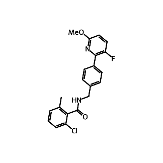 COc1ccc(F)c(-c2ccc(CNC(=O)c3c(C)cccc3Cl)cc2)n1